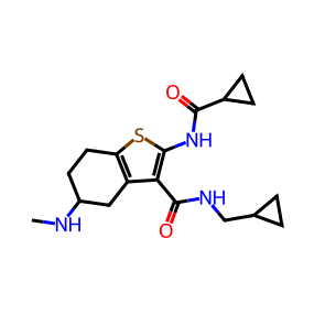 CNC1CCc2sc(NC(=O)C3CC3)c(C(=O)NCC3CC3)c2C1